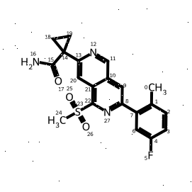 Cc1ccc(F)cc1-c1cc2cnc(C3(C(N)=O)CC3)cc2c(S(C)(=O)=O)n1